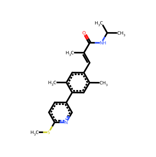 CSc1ccc(-c2cc(C)c(/C=C(\C)C(=O)NC(C)C)cc2C)cn1